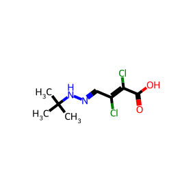 CC(C)(C)NN=CC(Cl)=C(Cl)C(=O)O